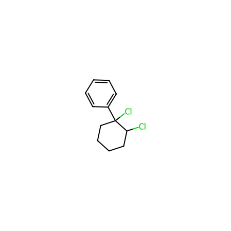 ClC1CCCCC1(Cl)c1ccccc1